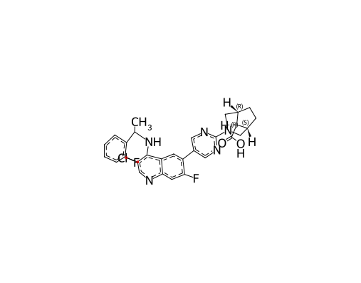 CC(Nc1c(Cl)cnc2cc(F)c(-c3cnc(N4C[C@H]5CC[C@@H](C4)[C@@H]5C(=O)O)nc3)cc12)c1ccccc1F